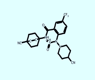 N#CC1CCN(N(c2ccc(C(F)(F)F)cc2C(=O)NC23CCC(C#N)(CC2)CC3)[SH](=O)=O)CC1